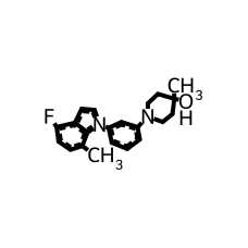 Cc1ccc(F)c2ccn(-c3cccc(N4CCC(C)(O)CC4)c3)c12